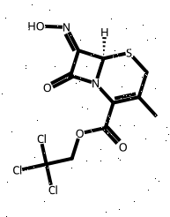 CC1=C(C(=O)OCC(Cl)(Cl)Cl)N2C(=O)/C(=N\O)[C@H]2SC1